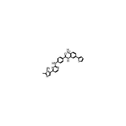 Cc1ncc(-c2ccnc(Nc3ccc(C(=O)Nc4cc(-c5cccs5)ccc4N)cc3)n2)n1C(C)C